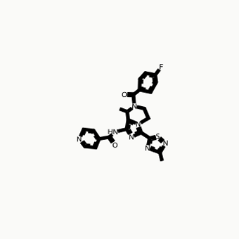 Cc1nsc(-c2nc(NC(=O)c3ccncc3)c3n2CCN(C(=O)c2ccc(F)cc2)C3C)n1